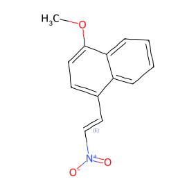 COc1ccc(/C=C/[N+](=O)[O-])c2ccccc12